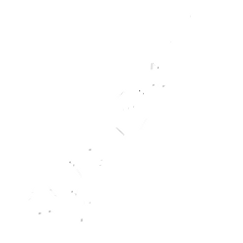 CCOCCCNC(=O)n1ccc2cc(Oc3ccnc(N(C(=O)O)c4ccccc4)c3)ccc21